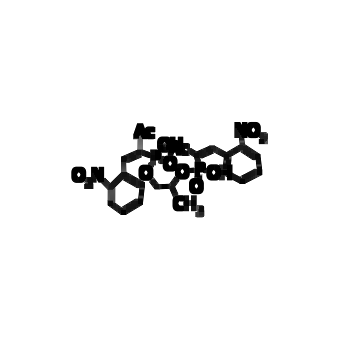 CC(=O)/C(=C/c1ccccc1[N+](=O)[O-])P(=O)(O)OCC(C)OP(=O)(O)/C(=C\c1ccccc1[N+](=O)[O-])C(C)=O